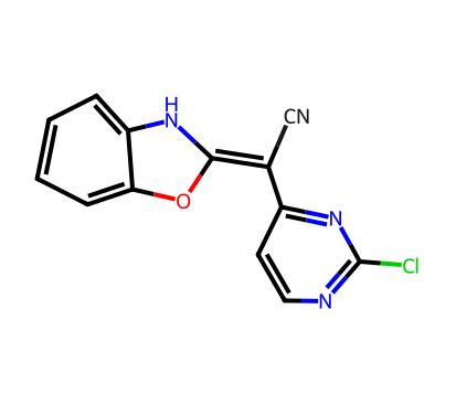 N#C/C(=C1\Nc2ccccc2O1)c1ccnc(Cl)n1